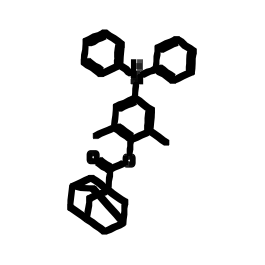 Cc1cc([SiH](c2ccccc2)c2ccccc2)cc(C)c1OC(=O)C12CC3CC(CC(C3)C1)C2